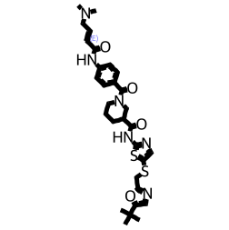 CN(C)C/C=C/C(=O)Nc1ccc(C(=O)N2CCCC(C(=O)Nc3ncc(SCc4ncc(C(C)(C)C)o4)s3)C2)cc1